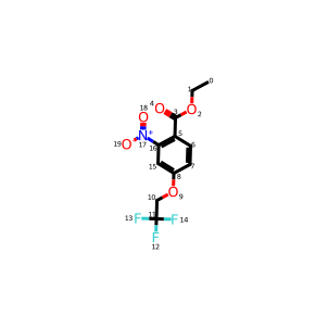 CCOC(=O)c1ccc(OCC(F)(F)F)cc1[N+](=O)[O-]